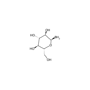 B[C@H]1O[C@H](CO)[C@@H](O)[C@H](O)[C@H]1O